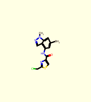 Bc1cc(NC(=O)c2csc(CCl)n2)c2cnn(C)c2c1